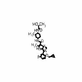 Cc1[nH]c2c(-c3cc(F)ccc3OCC3CC3)ncnc2c1C(=O)N[C@@H]1CC[C@@H](NC(=O)[C@H](C)O)[C@H](C)C1